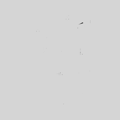 C=CC1C(CC2NCCc3c2[nH]c2ccccc32)C(C(=O)OC)=CO[C@H]1O